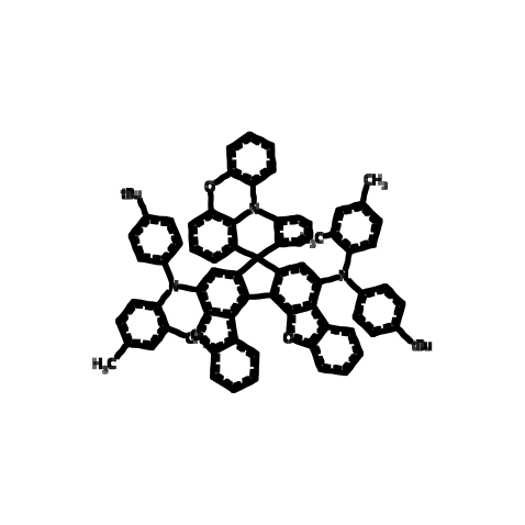 Cc1ccc(N(c2ccc(C(C)(C)C)cc2)c2cc3c(c4c2oc2ccccc24)-c2c(cc(N(c4ccc(C(C)(C)C)cc4)c4ccc(C)cc4C)c4c2oc2ccccc24)C32c3ccccc3N3c4ccccc4Oc4cccc2c43)c(C)c1